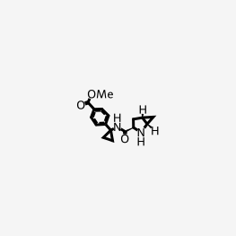 COC(=O)c1ccc(C2(NC(=O)[C@H]3C[C@@H]4C[C@@H]4N3)CC2)cc1